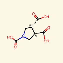 O=C(O)[C@H]1CN(C(=O)O)C[C@@H]1C(=O)O